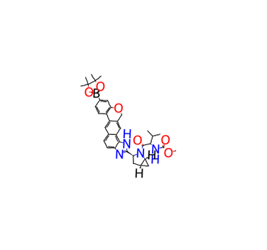 COC(=O)N[C@H](C(=O)N1[C@@H]2C[C@@H]2C[C@H]1c1nc2ccc3cc4c(cc3c2[nH]1)COc1cc(B2OC(C)(C)C(C)(C)O2)ccc1-4)C(C)C